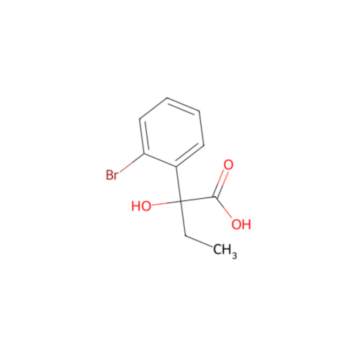 CCC(O)(C(=O)O)c1ccccc1Br